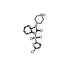 O=c1n(C2CCNCC2)c2ccccc2n1S(=O)(=O)c1ccc(Cl)s1